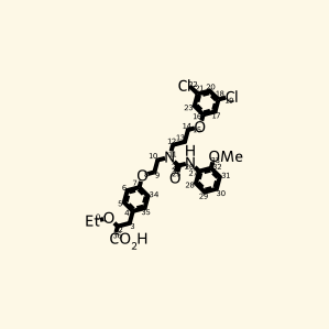 CCOC(Cc1ccc(OCCN(CCCOc2cc(Cl)cc(Cl)c2)C(=O)Nc2ccccc2OC)cc1)C(=O)O